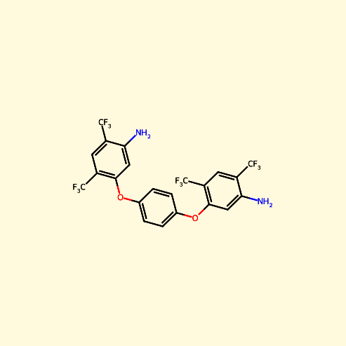 Nc1cc(Oc2ccc(Oc3cc(N)c(C(F)(F)F)cc3C(F)(F)F)cc2)c(C(F)(F)F)cc1C(F)(F)F